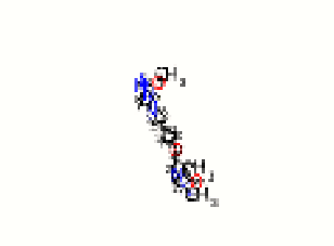 COc1nnc2ccc(N3CCC(c4ccc(OCCCN5CCN(C)C(=O)C5C)cc4)CC3)nn12